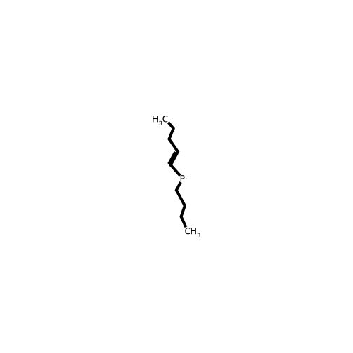 CCCC=C[P]CCCC